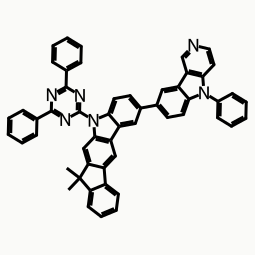 CC1(C)c2ccccc2-c2cc3c4cc(-c5ccc6c(c5)c5cnccc5n6-c5ccccc5)ccc4n(-c4nc(-c5ccccc5)nc(-c5ccccc5)n4)c3cc21